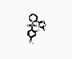 Cc1nnc([C@@H]2CCCCN2S(=O)(=O)c2ccc(C(F)(F)F)cc2Cl)o1